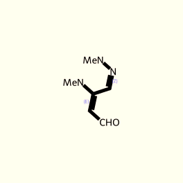 CN/N=C\C(=C/C=O)NC